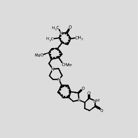 COc1cc(-c2cc(C)c(=O)n(C)c2C)cc(OC)c1CN1CCN(c2ccc3c(c2)C(=O)N(C2CCC(=O)NC2=O)C3)CC1